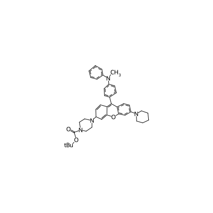 CN(c1ccccc1)c1ccc(C2=C3C=CC(N4CCN(C(=O)OC(C)(C)C)CC4)C=C3Oc3cc(N4CCCCC4)ccc32)cc1